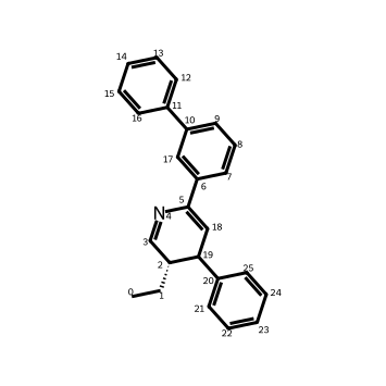 CC[C@@H]1C=NC(c2cccc(-c3ccccc3)c2)=CC1c1ccccc1